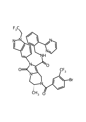 C[C@@H]1Cn2c(c(C(=O)NCc3ccccc3-c3ncccn3)n(-c3ccc4c(cnn4CC(F)(F)F)c3)c2=O)CN1C(=O)c1ccc(Br)c(C(F)(F)F)c1